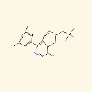 Cc1cc(C)cc(-c2ncc(C)c3cc(CC(C)(C)C)ccc23)c1